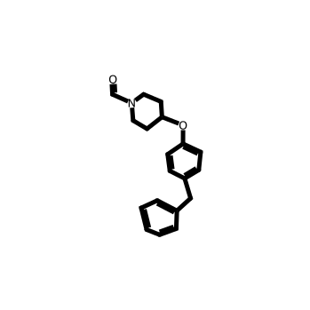 O=CN1CCC(Oc2ccc(Cc3ccccc3)cc2)CC1